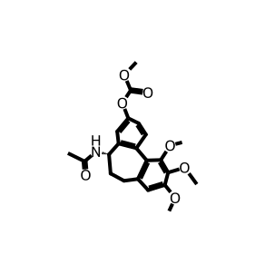 COC(=O)Oc1ccc2c(c1)[C@@H](NC(C)=O)CCc1cc(OC)c(OC)c(OC)c1-2